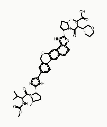 COC(=O)N[C@H](C(=O)N1[C@@H](C)CC[C@H]1c1ncc(-c2ccc3c(c2)COc2cc4c(ccc5nc([C@@H]6CC[C@H](C)N6C(=O)[C@H]([C@H]6CCCOC6)N(C)C(=O)O)[nH]c54)cc2-3)[nH]1)C(C)C